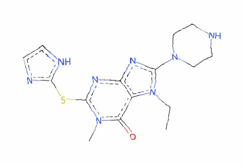 CCn1c(N2CCNCC2)nc2nc(Sc3ncc[nH]3)n(C)c(=O)c21